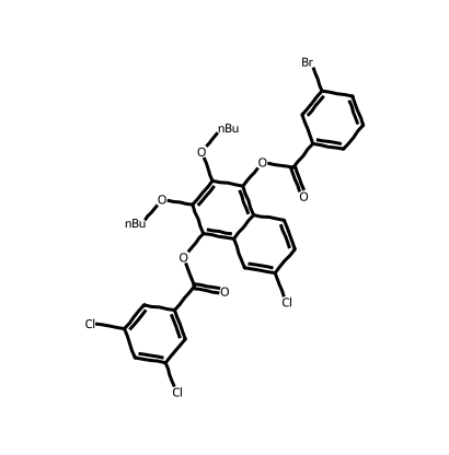 CCCCOc1c(OCCCC)c(OC(=O)c2cc(Cl)cc(Cl)c2)c2cc(Cl)ccc2c1OC(=O)c1cccc(Br)c1